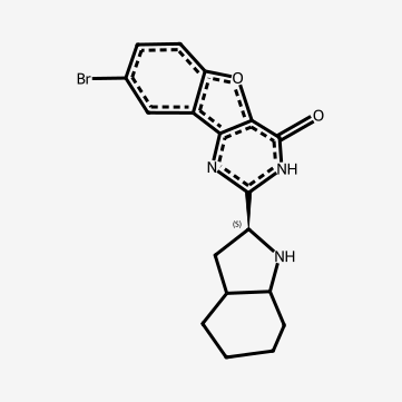 O=c1[nH]c([C@@H]2CC3CCCCC3N2)nc2c1oc1ccc(Br)cc12